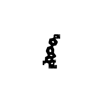 CCCCc1c(F)cc2c(c1F)Cc1cc(-c3ccc(C#N)cc3)ccc1-2